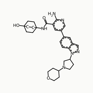 Nc1ncc(-c2ccc3c(cnn3C3CCN(C4CCOCC4)C3)c2)cc1C(=O)NC12CCC(O)(CC1)CC2